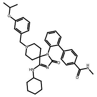 CNC(=O)c1ccc(-c2ccccc2N2C(=O)N=C(NC3CCCCC3)C23CCN(Cc2cccc(OC(C)C)c2)CC3)cc1